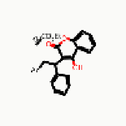 CC(=O)CC(c1ccccc1)c1c(O)c2ccccc2oc1=O.CCOC(C)=O.[KH]